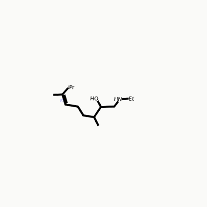 CCNCC(O)C(C)CC/C=C(/C)C(C)C